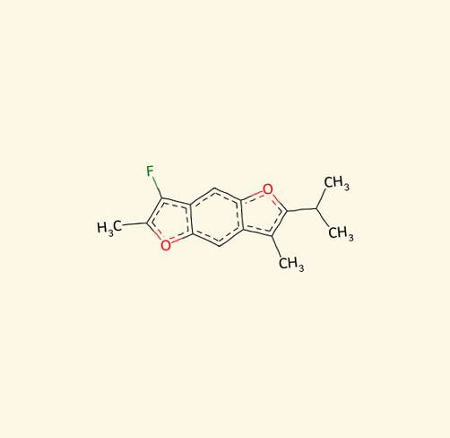 Cc1oc2cc3c(C)c(C(C)C)oc3cc2c1F